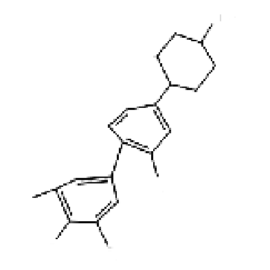 CCCCCC1CCC(c2ccc(-c3cc(C)c(F)c(F)c3)c(F)c2)CC1